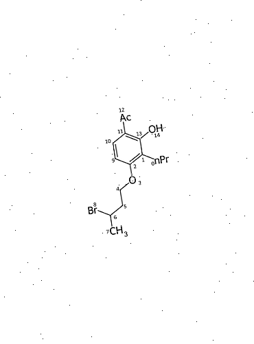 CCCc1c(OCCC(C)Br)ccc(C(C)=O)c1O